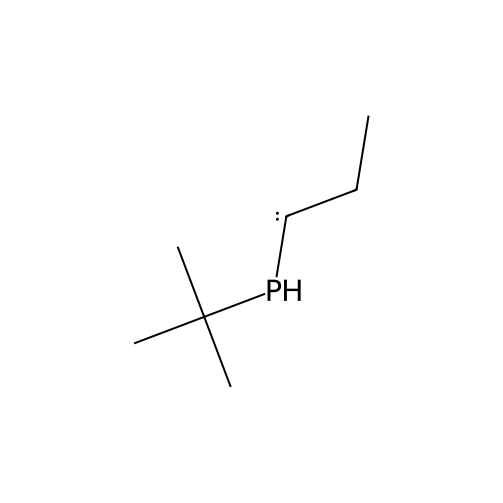 CC[C]PC(C)(C)C